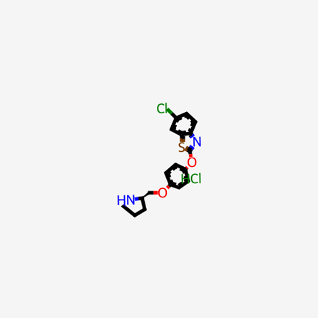 Cl.Clc1ccc2nc(Oc3ccc(OC[C@H]4CCCN4)cc3)sc2c1